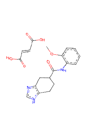 COc1ccccc1NC(=O)C1CCc2[nH]cnc2C1.O=C(O)/C=C/C(=O)O